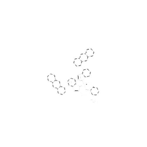 CC1=Cc2c(-c3cccc4cc5ccccc5cc34)ccc(C)c2[CH]1[Zr](=[SiH2])([CH2]c1ccccc1)[CH]1C(C)=Cc2c(-c3cccc4cc5ccccc5cc34)ccc(C)c21.Cl.Cl